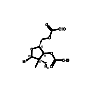 C[C@@]1(F)[C@H](OC(=O)C=O)[C@@H](COC(=O)C=O)O[C@@H]1Br